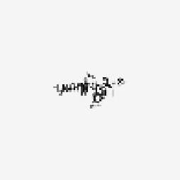 COCCNC(=O)c1nc(N[C@H]2CCCC[C@H]2NC=NOCN)c2cc(C)ccc2n1